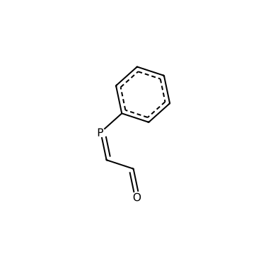 O=C/C=P\c1ccccc1